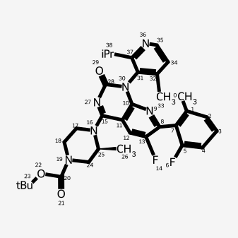 Cc1cccc(F)c1-c1nc2c(cc1F)c(N1CCN(C(=O)OC(C)(C)C)C[C@@H]1C)nc(=O)n2-c1c(C)ccnc1C(C)C